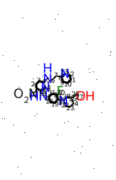 O=[N+]([O-])c1ccc(NCCc2ccccn2)nc1Nc1ccc(N2CCCC(CO)C2)c(F)c1